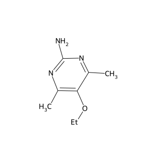 CCOc1c(C)nc(N)nc1C